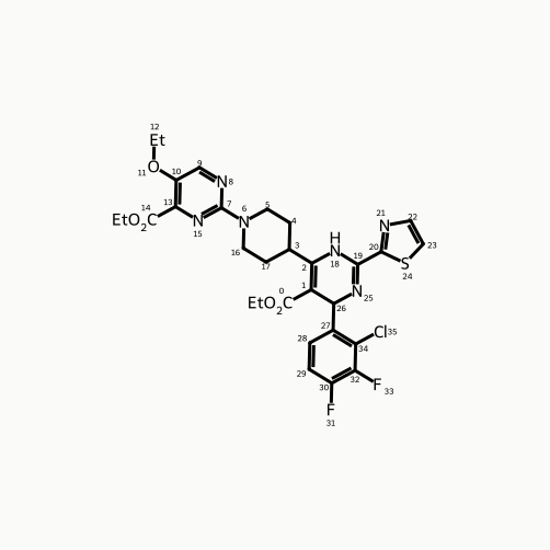 CCOC(=O)C1=C(C2CCN(c3ncc(OCC)c(C(=O)OCC)n3)CC2)NC(c2nccs2)=NC1c1ccc(F)c(F)c1Cl